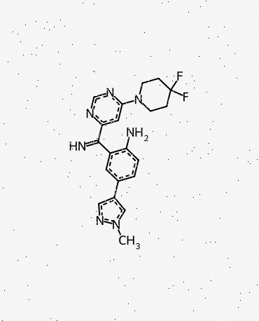 Cn1cc(-c2ccc(N)c(C(=N)c3cc(N4CCC(F)(F)CC4)ncn3)c2)cn1